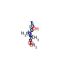 Cc1nc(-c2ccc(C3(O)CCN(C4CC4)CC3)c(F)c2)cc2c1cc(-c1ccc(S(C)(=O)=O)cc1)n2C